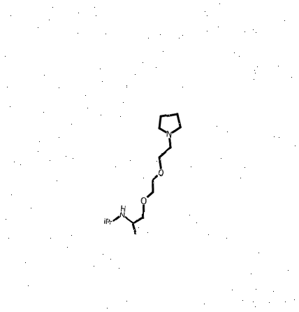 CC(C)NC(C)COCCOCCN1CCCC1